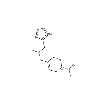 C=C(C)[C@@H]1CC=C(CN(C)Cc2ncc[nH]2)CC1